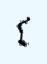 O=C(/C=C/c1cccnc1)NCCCCC1CCN(C(=O)c2ccc(C3CCN(CCCCCCCCSc4cccc5c4C(=O)N(C4CCC(=O)NC4=O)C5=O)CC3)cc2)CC1